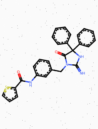 N=C1NC(c2ccccc2)(c2ccccc2)C(=O)N1Cc1cccc(NC(=O)c2cccs2)c1